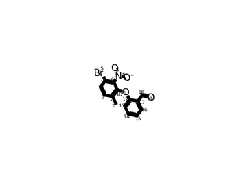 Cc1ccc(Br)c([N+](=O)[O-])c1Oc1ccccc1C=O